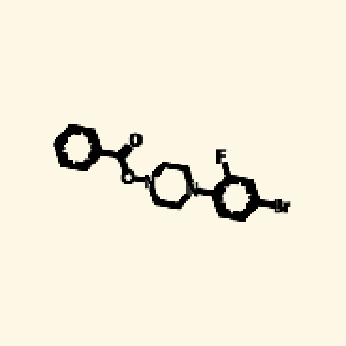 O=C(ON1CCN(c2ccc(Br)cc2F)CC1)c1ccccc1